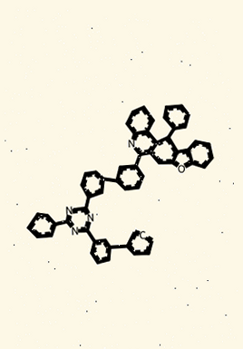 c1ccc(-c2cccc(-c3nc(-c4ccccc4)nc(-c4cccc(-c5cccc(-c6nc7ccccc7c7c(-c8ccccc8)c8c(cc67)oc6ccccc68)c5)c4)n3)c2)cc1